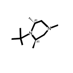 C[C@@H]1CN(C)C[C@@H](C)N1C(C)(C)C